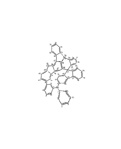 c1ccc(N(c2ccccc2)c2ccc3c(c2)-c2ccccc2C32c3ccccc3-n3c4ccccc4c4c5oc6ccccc6c5cc2c43)cc1